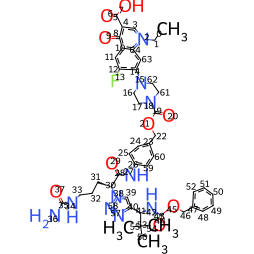 CCn1cc(C(=O)O)c(=O)c2cc(F)c(N3CCN(C(=O)OCc4ccc(NC(=O)[C@H](CCCNC(N)=O)n5cc([C@@H](NC(=O)OCc6ccccc6)C(C)(C)C)nn5)cc4)CC3)cc21